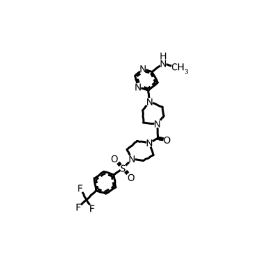 CNc1cc(N2CCN(C(=O)N3CCN(S(=O)(=O)c4ccc(C(F)(F)F)cc4)CC3)CC2)ncn1